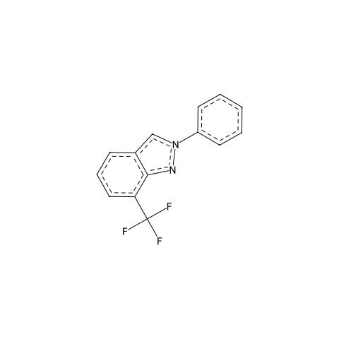 FC(F)(F)c1cccc2cn(-c3ccccc3)nc12